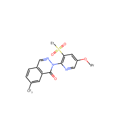 CCS(=O)(=O)c1cc(OC(C)C)cnc1-n1ncc2ccc(C(F)(F)F)cc2c1=O